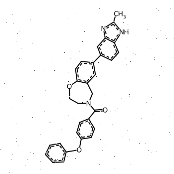 Cc1nc2cc(-c3ccc4c(c3)CN(C(=O)c3ccc(Oc5ccccc5)cc3)CCO4)ccc2[nH]1